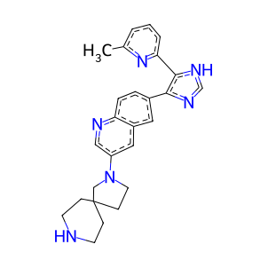 Cc1cccc(-c2[nH]cnc2-c2ccc3ncc(N4CCC5(CCNCC5)C4)cc3c2)n1